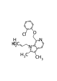 C=CCn1c(C)c(C)c2ccnc(COc3ccccc3Cl)c21.Cl